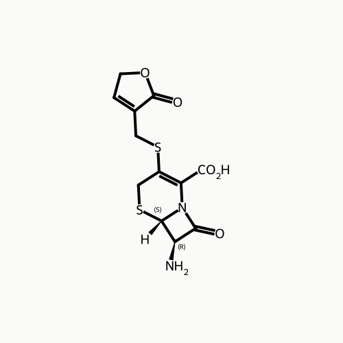 N[C@@H]1C(=O)N2C(C(=O)O)=C(SCC3=CCOC3=O)CS[C@@H]12